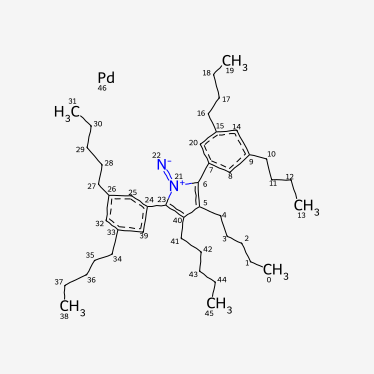 CCCCCC1=C(c2cc(CCCC)cc(CCCC)c2)[N+](=[N-])C(c2cc(CCCCC)cc(CCCCC)c2)=C1CCCCC.[Pd]